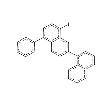 Ic1ccc(-c2ccccc2)c2ccc(-c3cccc4ccccc34)cc12